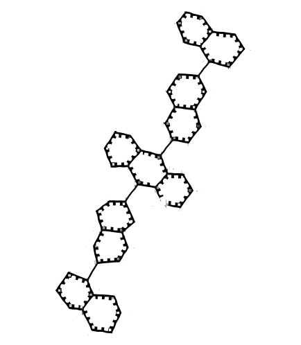 c1ccc2c(-c3ccc4cc(-c5c6ccccc6c(-c6ccc7cc(-c8cccc9ccccc89)ccc7c6)c6ncccc56)ccc4c3)cccc2c1